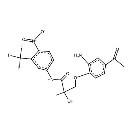 CC(=O)c1ccc(OCC(C)(O)C(=O)Nc2ccc([N+](=O)[O-])c(C(F)(F)F)c2)c(N)c1